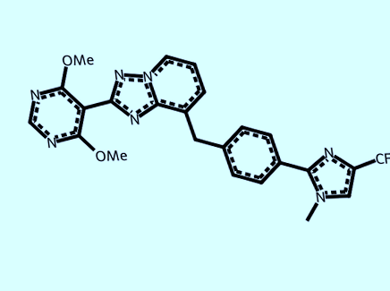 COc1ncnc(OC)c1-c1nc2c(Cc3ccc(-c4nc(C(F)(F)F)cn4C)cc3)cccn2n1